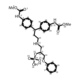 COC(=O)Nc1ccc(C(CCNC[C@@H](COc2ccccc2)OP(=O)(O)O)c2ccc(NC(=O)OC)cc2)cc1